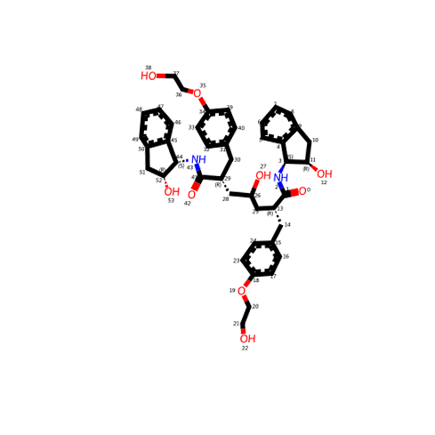 O=C(N[C@H]1c2ccccc2C[C@H]1O)[C@H](Cc1ccc(OCCO)cc1)CC(O)C[C@@H](Cc1ccc(OCCO)cc1)C(=O)N[C@H]1c2ccccc2C[C@H]1O